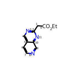 CCOC(=O)Cc1ncc2ccncc2n1